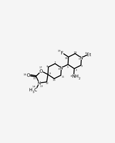 CCN1CC(N)C(N2CCC3(CC2)CN(C)C(=O)O3)C(F)C1